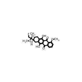 COc1cccc2c1C(=O)c1c(O)c3c(c(O)c1C2=O)C[C@@](O)(C(CF)(OC)OC)CC3